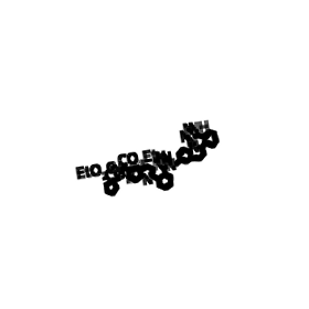 CCOC(=O)C(c1ccc2nc(-c3ccccc3-c3nnnn3Cc3ccc4nc(-c5ccccc5-c5nnn[nH]5)ccc4c3)ccc2c1)N(CC1(C(=O)O)CCCC1)C(=O)OCC